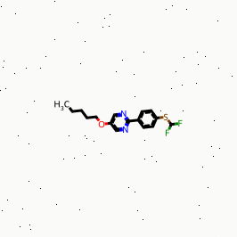 CCCCCOc1cnc(-c2ccc(SC(F)F)cc2)nc1